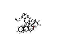 CC(C)C1CCC(C)(P(c2ccccc2)c2ccccc2)C(P(c2ccccc2)c2ccccc2)C1